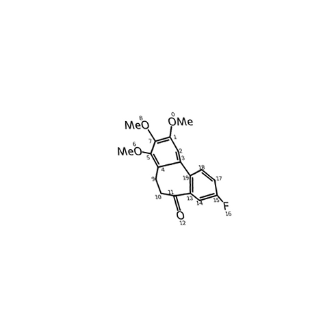 COc1cc2c(c(OC)c1OC)CCC(=O)c1cc(F)ccc1-2